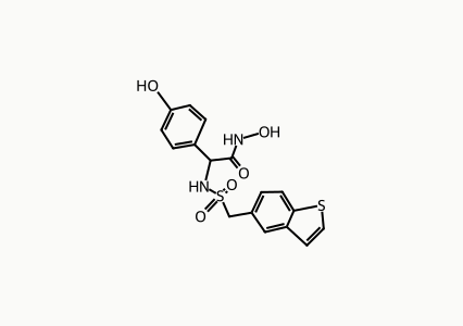 O=C(NO)C(NS(=O)(=O)Cc1ccc2sccc2c1)c1ccc(O)cc1